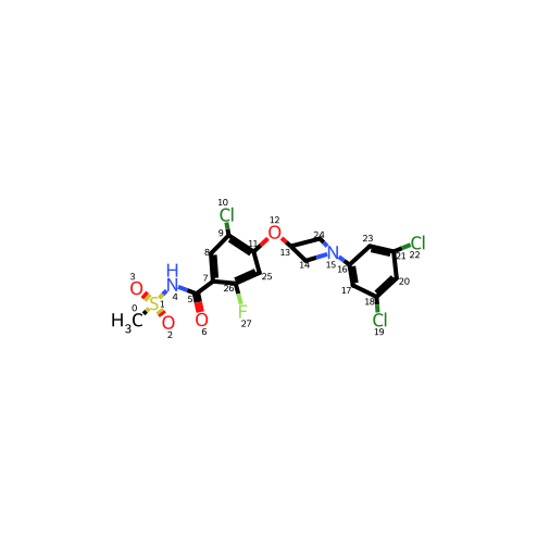 CS(=O)(=O)NC(=O)c1cc(Cl)c(OC2CN(c3cc(Cl)cc(Cl)c3)C2)cc1F